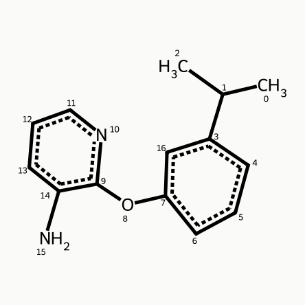 CC(C)c1cccc(Oc2ncccc2N)c1